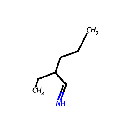 CCCC(C=N)CC